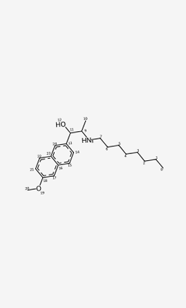 CCCCCCCCNC(C)C(O)c1ccc2cc(OC)ccc2c1